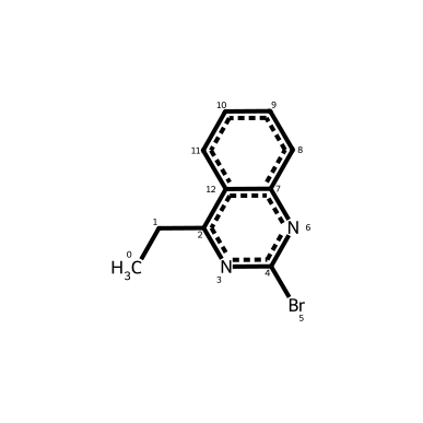 CCc1nc(Br)nc2ccccc12